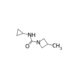 CC1CN(C(=O)NC2CC2)C1